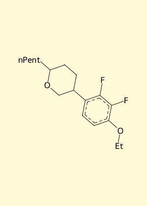 CCCCCC1CCC(c2ccc(OCC)c(F)c2F)CO1